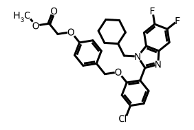 COC(=O)COc1ccc(COc2cc(Cl)ccc2-c2nc3cc(F)c(F)cc3n2CC2CCCCC2)cc1